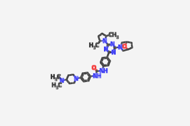 C[C@@H]1CC[C@H](C)N1c1nc(-c2ccc(NC(=O)Nc3ccc(N4CCC(N(C)C)CC4)cc3)cc2)nc(N2CC3CCC(C2)O3)n1